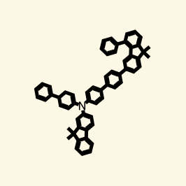 CC1(C)c2ccccc2-c2ccc(N(C3=CCC(c4ccccc4)C=C3)c3ccc(-c4ccc(-c5ccc6c(c5)-c5c(-c7ccccc7)cccc5C6(C)C)cc4)cc3)cc21